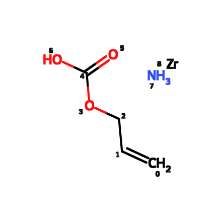 C=CCOC(=O)O.N.[Zr]